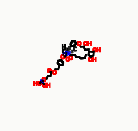 CC(NC(=O)CCC/C=C\C[C@@H]1[C@@H](/C=C/[C@@H](O)COc2cccc(C(F)(F)F)c2)[C@H](O)C[C@@H]1O)C(=O)Oc1ccc(CCOC(=O)CCCON(O)O)cc1